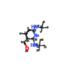 Cc1cc(NC(C)(C)C)nc(NC(C)(C)C)c1C=O